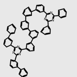 C1=CC(c2ccccc2)=CC(c2nc(-c3cccc(-c4ccccc4)c3)nc(-c3cccc(-c4cccc(-c5cccc(-c6cccc(-c7cccc(-c8nc(-c9ccccc9)nc(-c9ccccc9)n8)c7)c6)c5)c4)c3)n2)C1